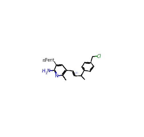 CCCCCc1cc(/C=C/C(C)c2ccc(CCl)cc2)c(C)nc1N